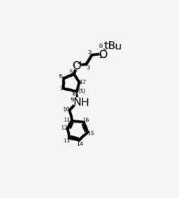 CC(C)(C)OCCOC1CC[C@H](NCc2ccccc2)C1